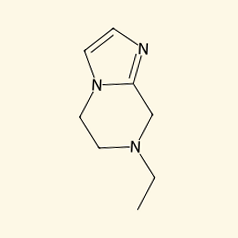 CCN1CCn2ccnc2C1